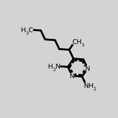 CCCCCC(C)c1cnc(N)nc1N